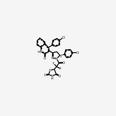 O=C1NC(=O)C(C(F)(F)C(=O)N2N=C(c3c(-c4ccc(Cl)cc4)c4ccccc4[nH]c3=O)C[C@H]2c2ccc(Cl)cc2)O1